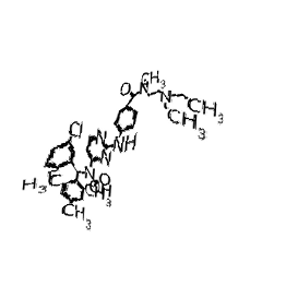 CCN(CC)CCN(C)C(=O)c1ccc(Nc2nccc(N(C(=O)O)C(c3cc(Cl)ccc3F)c3c(C)cc(C)cc3C)n2)cc1